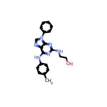 Cc1ccc(Nc2nc(NCCO)nc3c2ncn3-c2ccccc2)cc1